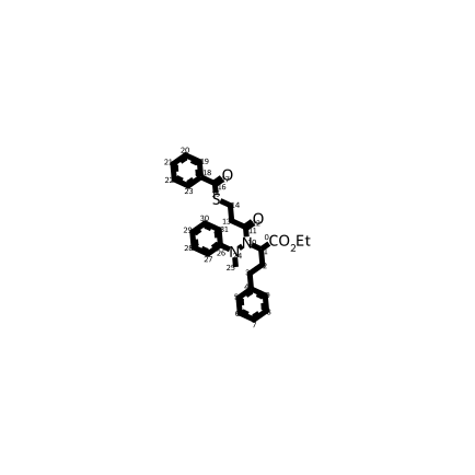 CCOC(=O)C(CCc1ccccc1)N(C(=O)CCSC(=O)c1ccccc1)N(C)c1ccccc1